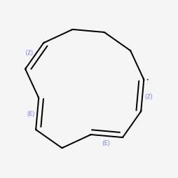 [C]1=C\C=C\C/C=C/C=C\CCC/1